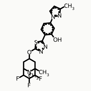 Cc1ccn(-c2ccc(-c3nnc(OC4CC5C(F)C(F)C(F)C(C)(C4)N5C)s3)c(O)c2)n1